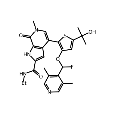 CCNC(=O)c1cc2c(-c3sc(C(C)(C)O)cc3OC(F)c3c(C)cncc3C)cn(C)c(=O)c2[nH]1